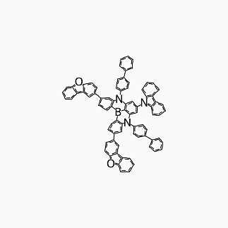 c1ccc(-c2ccc(N3c4cc(-c5ccc6oc7ccccc7c6c5)ccc4B4c5ccc(-c6ccc7oc8ccccc8c7c6)cc5N(c5ccc(-c6ccccc6)cc5)c5cc(-n6c7ccccc7c7ccccc76)cc3c54)cc2)cc1